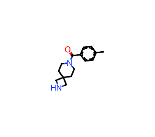 Cc1ccc(C(=O)N2CCC3(CC2)CNC3)cc1